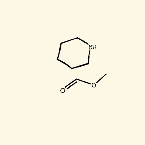 C1CCNCC1.COC=O